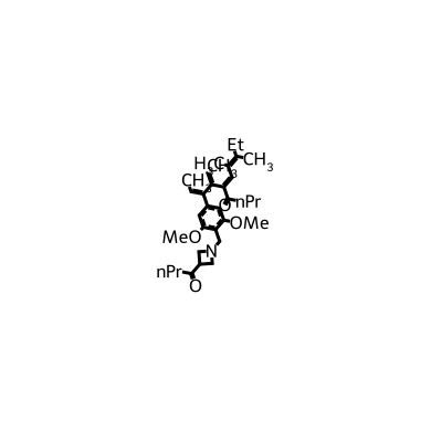 C/C=C(C(=C\C)/c1cc(OC)c(CN2CC(C(=O)CCC)C2)c(OC)c1)\C(=C/C(C)=C(\C)CC)C(=O)CCC